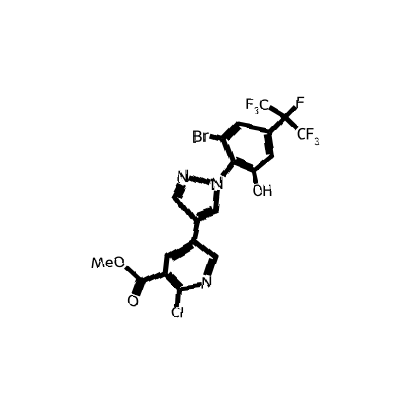 COC(=O)c1cc(-c2cnn(-c3c(O)cc(C(F)(C(F)(F)F)C(F)(F)F)cc3Br)c2)cnc1Cl